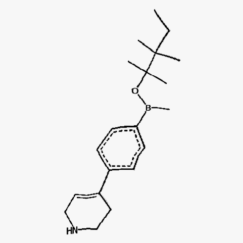 CCC(C)(C)C(C)(C)OB(C)c1ccc(C2=CCNCC2)cc1